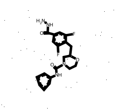 NNC(=O)c1cc(F)c(CC2CN(C(=O)Nc3ccccc3)CCO2)c(F)c1